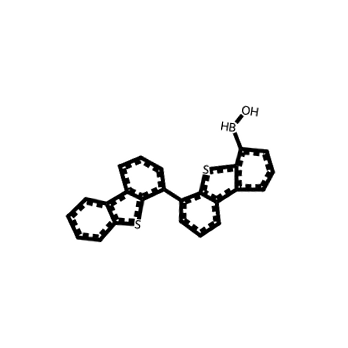 OBc1cccc2c1sc1c(-c3cccc4c3sc3ccccc34)cccc12